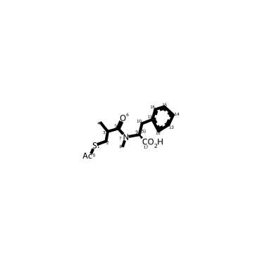 CC(=O)SCC(C)C(=O)N(C)[C@@H](Cc1ccccc1)C(=O)O